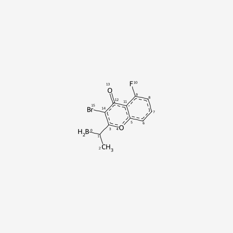 BC(C)c1oc2cccc(F)c2c(=O)c1Br